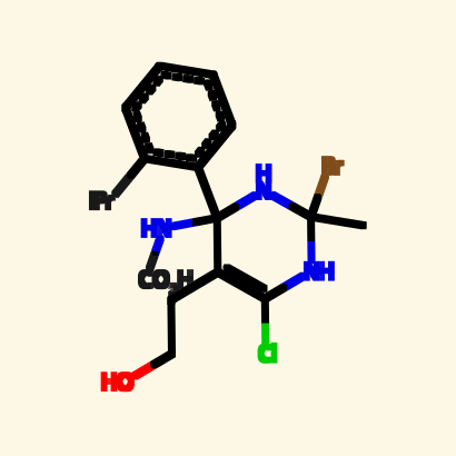 CC(C)c1ccccc1C1(NC(=O)O)NC(C)(Br)NC(Cl)=C1CCO